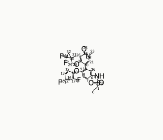 CCS(=O)(=O)Nc1ccc(Oc2ccc(F)cc2F)c(-c2cn(C)c(=O)cc2OCC2(C)CC2(F)F)c1